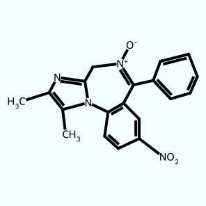 Cc1nc2n(c1C)-c1ccc([N+](=O)[O-])cc1C(c1ccccc1)=[N+]([O-])C2